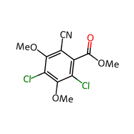 COC(=O)c1c(Cl)c(OC)c(Cl)c(OC)c1C#N